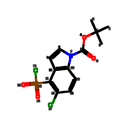 CC(C)(C)OC(=O)n1ccc2c(S(=O)(=O)Cl)c(Cl)ccc21